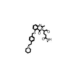 CNC(=O)CCC(C=O)n1c(C)nc2cccc(SCc3ccc(CCN4CCCCC4)cc3)c2c1=O